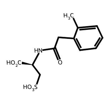 Cc1ccccc1CC(=O)N[C@@H](CS(=O)(=O)O)C(=O)O